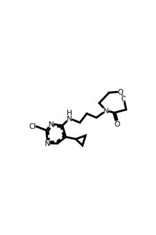 O=C1CCOCCN1CCCNc1nc(Cl)ncc1C1CC1